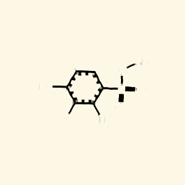 [2H]c1c(C)ccc(S(=O)(=O)OCCC)c1[2H]